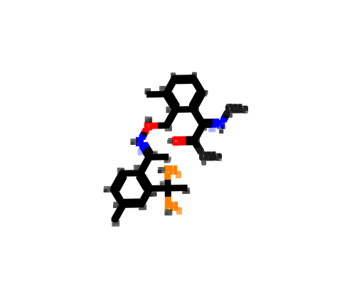 CO/N=C(/C(=O)OC)c1cccc(C)c1CO/N=C(\C)c1ccc(C)cc1C(C)(P)P